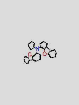 c1ccc(N(c2cccc3c2oc2ccccc23)c2cccc3c2oc2ccccc23)cc1